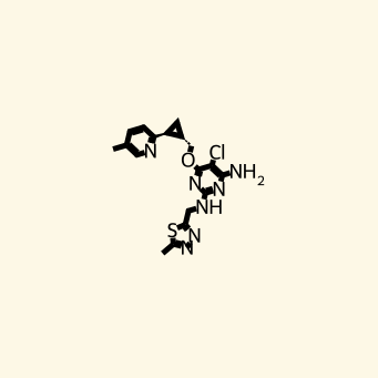 Cc1ccc([C@H]2C[C@@H]2COc2nc(NCc3nnc(C)s3)nc(N)c2Cl)nc1